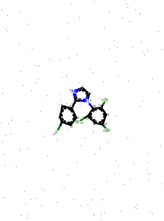 Fc1ccc(-c2nccn2-c2c(Br)cc(Br)cc2Br)cc1